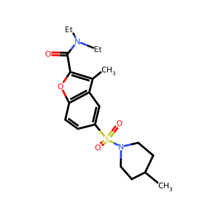 CCN(CC)C(=O)c1oc2ccc(S(=O)(=O)N3CCC(C)CC3)cc2c1C